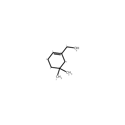 CC1(C)CCC=C(CO)C1